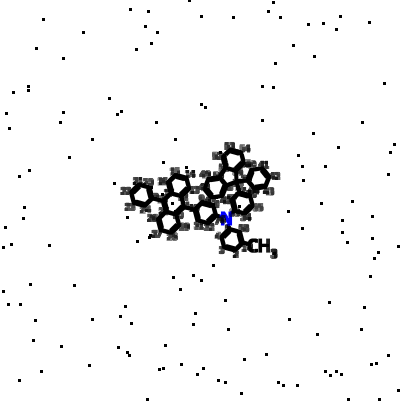 Cc1cccc(N(c2ccc(-c3c4ccccc4c(-c4ccccc4)c4ccccc34)cc2)c2cccc(C3(c4ccccc4)c4ccccc4-c4ccccc43)c2)c1